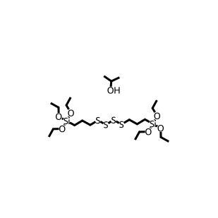 CC(C)O.CCO[Si](CCCSSSSCCC[Si](OCC)(OCC)OCC)(OCC)OCC